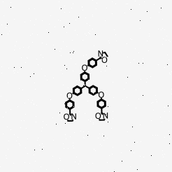 c1cc(C2=NCCO2)ccc1Oc1ccc(C(c2ccc(Oc3ccc(C4=NCCO4)cc3)cc2)c2ccc(Oc3ccc(C4=NCCO4)cc3)cc2)cc1